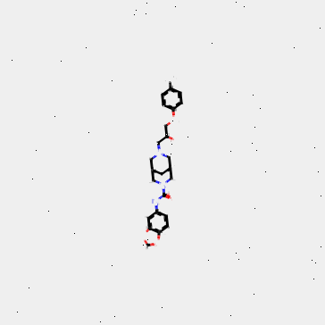 N#Cc1ccc(OCC(O)CN2CC3CC(C2)CN(C(=O)Nc2ccc4c(c2)OCO4)C3)cc1